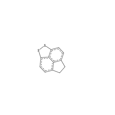 c1cc2c3c(ccc4c3c1CC4)SS2